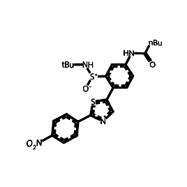 CCCCC(=O)Nc1ccc(-c2cnc(-c3ccc([N+](=O)[O-])cc3)s2)c([S+]([O-])NC(C)(C)C)c1